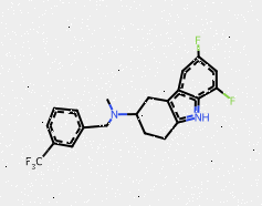 CN(Cc1cccc(C(F)(F)F)c1)C1CCc2[nH]c3c(F)cc(F)cc3c2C1